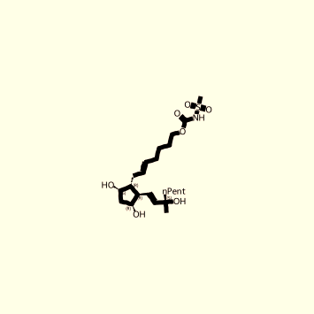 CCCCC[C@](C)(O)C=C[C@@H]1[C@@H](CC=CCCCCOC(=O)NS(C)(=O)=O)[C@@H](O)C[C@H]1O